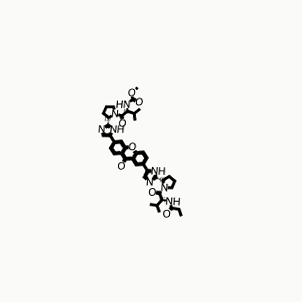 CCC(=O)N[C@H](C(=O)N1CCC[C@H]1c1ncc(-c2ccc3oc4cc(-c5cnc([C@@H]6CCCN6C(=O)[C@@H](NC(=O)OC)C(C)C)[nH]5)ccc4c(=O)c3c2)[nH]1)C(C)C